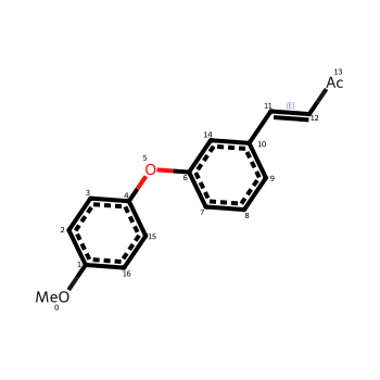 COc1ccc(Oc2cccc(/C=C/C(C)=O)c2)cc1